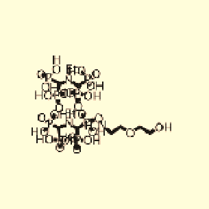 CCN(C(P(=O)(O)O)P(=O)(O)O)C(P(=O)(O)O)P(=O)(O)O.CCN(C(P(=O)(O)O)P(=O)(O)O)C(P(=O)(O)O)P(=O)(O)O.NCCOCCO